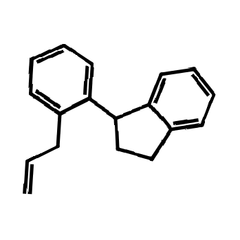 C=CCc1ccccc1C1CCc2ccccc21